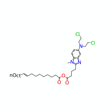 CCCCCCCCC=CCCCCCCCC(=O)OC(=O)CCCc1nc2cc(N(CCCl)CCCl)ccc2n1C